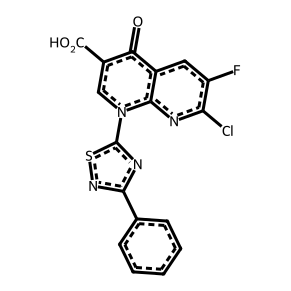 O=C(O)c1cn(-c2nc(-c3ccccc3)ns2)c2nc(Cl)c(F)cc2c1=O